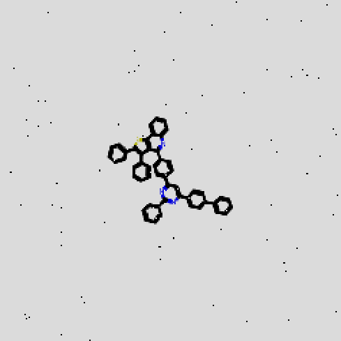 c1ccc(-c2ccc(-c3cc(-c4ccc(-c5nc6ccccc6c6sc(-c7ccccc7)c(-c7ccccc7)c56)cc4)nc(-c4ccccc4)n3)cc2)cc1